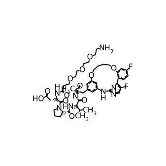 CC(C)[C@H](NC(=O)[C@@H]1CCCN1C(=O)[C@H](CC(=O)O)NC(=O)CCOCCOCCOCCN)C(=O)N=[S@@](C)(=O)Cc1cc2cc(c1)OCCCCOc1cc(F)ccc1-c1nc(ncc1F)N2